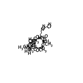 CC[C@H]1OC(=O)[C@H](C)C(=O)[C@H](C)[C@@H](O[C@@H]2O[C@H](C)C[C@H](NC)[C@H]2O)[C@](C)(OC)C[C@@H](C)C(=O)[C@@H]2C(CCCn3cnc(-c4cccnc4)c3)N3C(=O)O[C@@]1(C)C23